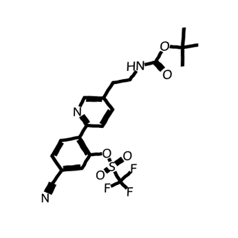 CC(C)(C)OC(=O)NCCc1ccc(-c2ccc(C#N)cc2OS(=O)(=O)C(F)(F)F)nc1